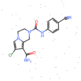 N#Cc1ccc(NC(=O)N2CCn3cc(Cl)c(C(N)=O)c3C2)cc1